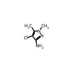 Cc1c(Cl)c(N)nn1C